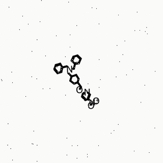 O=[N+]([O-])c1ccc(OCC2CCC(CN(Cc3ccccc3)Cc3ccccc3)CC2)nc1